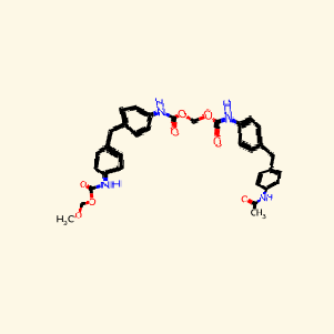 COCOC(=O)Nc1ccc(Cc2ccc(NC(=O)OCOC(=O)Nc3ccc(Cc4ccc(NC(C)=O)cc4)cc3)cc2)cc1